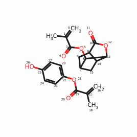 C=C(C)C(=O)OC1C2CC3C(=O)OC1C3C2.C=C(C)C(=O)Oc1ccc(O)cc1